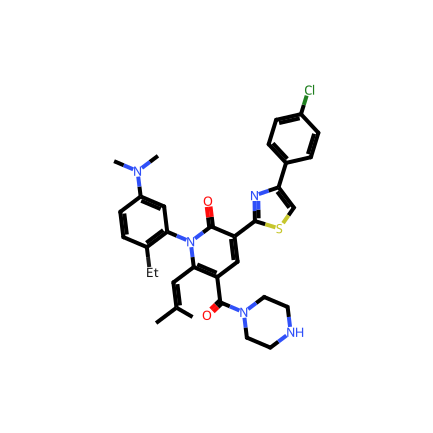 CCc1ccc(N(C)C)cc1-n1c(C=C(C)C)c(C(=O)N2CCNCC2)cc(-c2nc(-c3ccc(Cl)cc3)cs2)c1=O